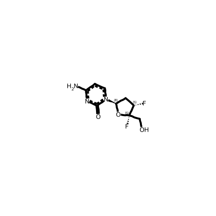 Nc1ccn([C@H]2C[C@H](F)[C@@](F)(CO)O2)c(=O)n1